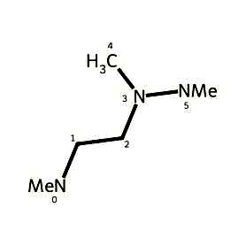 CNCCN(C)NC